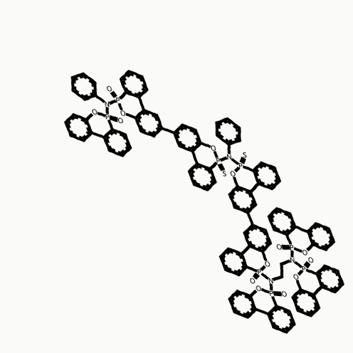 O=P1(N(CCN(P2(=O)Oc3ccccc3-c3ccccc32)P2(=O)Oc3ccc(-c4ccc5c(c4)-c4ccccc4P(=S)(N(c4ccccc4)P4(=S)Oc6ccc(-c7ccc8c(c7)-c7ccccc7P(=O)(N(c7ccccc7)P7(=O)Oc9ccccc9-c9ccccc97)O8)cc6-c6ccccc64)O5)cc3-c3ccccc32)P2(=O)Oc3ccccc3-c3ccccc32)Oc2ccccc2-c2ccccc21